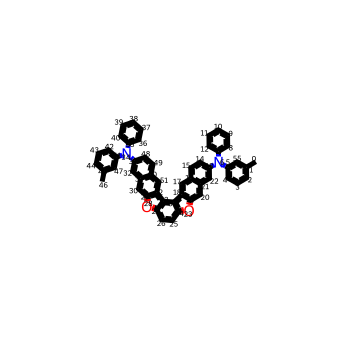 Cc1cccc(N(c2ccccc2)c2ccc3cc4c(cc3c2)oc2ccc3oc5cc6cc(N(c7ccccc7)c7cccc(C)c7)ccc6cc5c3c24)c1